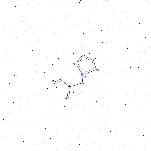 C=CC(=C)Cn1cccc1